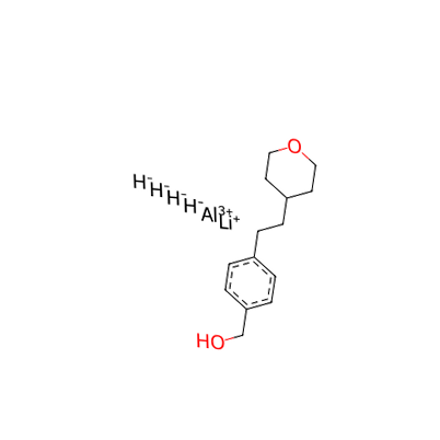 OCc1ccc(CCC2CCOCC2)cc1.[Al+3].[H-].[H-].[H-].[H-].[Li+]